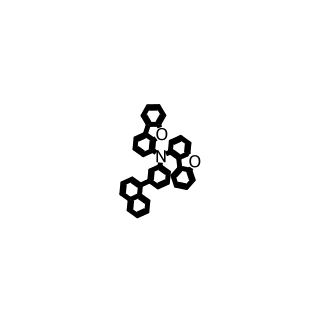 c1cc(-c2cccc3ccccc23)cc(N(c2cccc3c2oc2ccccc23)c2cccc3oc4ccccc4c23)c1